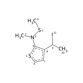 CSN(C)c1sccc1C(C)I